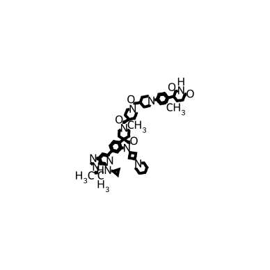 Cc1cc(N2CCC(C(=O)N3CCC(C)(C(=O)N4CCC5(CC4)C(=O)N([C@H]4C[C@@H](N6CCCCC6)C4)c4cc(-c6cc7ncn(C(C)C)c7c(NC7CC7)n6)ccc45)CC3)CC2)ccc1C1CCC(=O)NC1=O